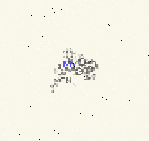 C/C(=C\CCI)c1cccc(-c2cc(-c3ccc4c(c3)C3(C5=C4C=CCC5)c4ccccc4-c4ccccc43)nc(-c3ccccc3)n2)c1